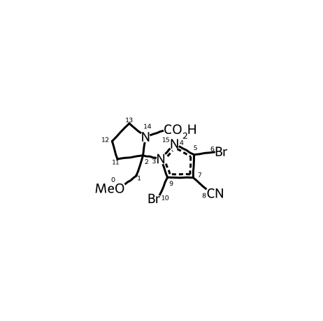 COCC1(n2nc(Br)c(C#N)c2Br)CCCN1C(=O)O